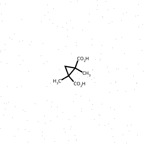 CC1(C(=O)O)CC1(C)C(=O)O